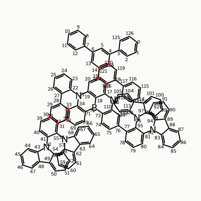 c1ccc(-c2cc(-c3ccccc3)cc(-c3cc4c5c(c3)N(c3ccccc3-c3ccccc3)c3cc(-c6cccc(-n7c8ccccc8c8ccccc87)c6-n6c7ccccc7c7ccccc76)ccc3B5c3ccc(-c5cccc(-n6c7ccccc7c7ccccc76)c5-n5c6ccccc6c6ccccc65)cc3N4c3ccccc3-c3ccccc3)c2)cc1